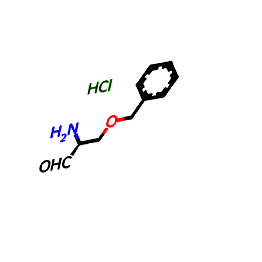 Cl.N[C@H](C=O)COCc1ccccc1